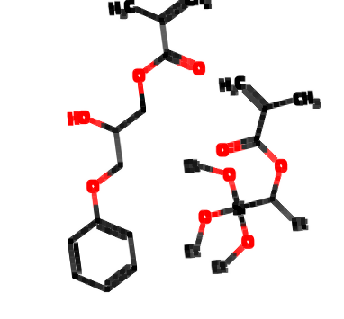 C=C(C)C(=O)OC(CC)[Si](OCC)(OCC)OCC.C=C(C)C(=O)OCC(O)COc1ccccc1